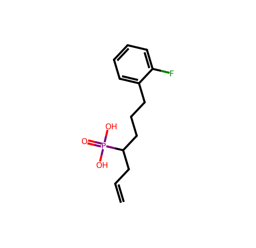 C=CCC(CCCc1ccccc1F)P(=O)(O)O